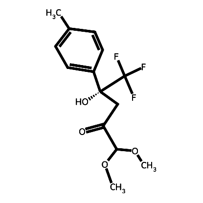 COC(OC)C(=O)C[C@@](O)(c1ccc(C)cc1)C(F)(F)F